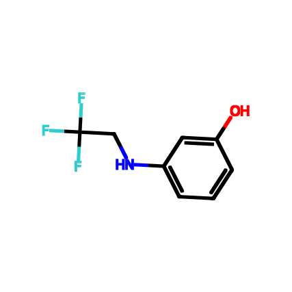 Oc1cccc(NCC(F)(F)F)c1